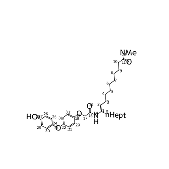 CCCCCCCC(CCCCCCCCCC(=O)NC)NC(=O)COc1ccc(Oc2ccc(O)cc2)cc1